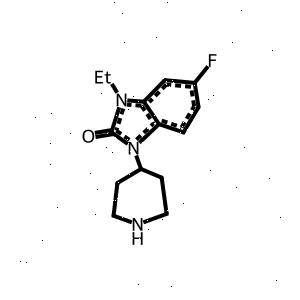 CCn1c(=O)n(C2CCNCC2)c2ccc(F)cc21